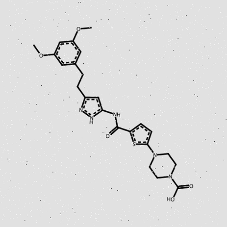 COc1cc(CCc2cc(NC(=O)c3ccc(N4CCN(C(=O)O)CC4)s3)[nH]n2)cc(OC)c1